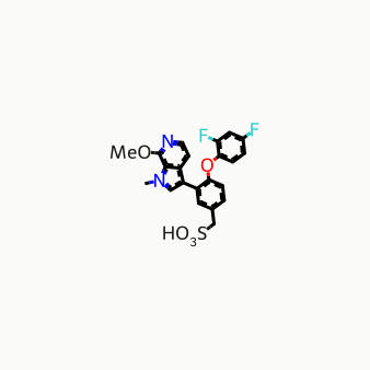 COc1nccc2c(-c3cc(CS(=O)(=O)O)ccc3Oc3ccc(F)cc3F)cn(C)c12